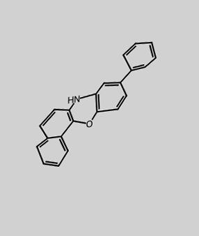 c1ccc(-c2ccc3c(c2)Nc2ccc4ccccc4c2O3)cc1